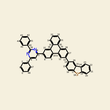 c1ccc(-c2cc(-c3ccc4c5cc(-c6ccc7sc8ccccc8c7c6)ccc5c5ccccc5c4c3)nc(-c3ccccc3)n2)cc1